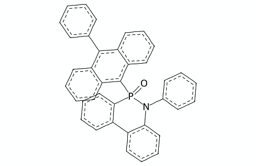 O=P1(c2c3ccccc3c(-c3ccccc3)c3ccccc23)c2ccccc2-c2ccccc2N1c1ccccc1